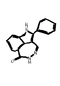 O=C1NN=Cc2c(-c3ccccc3)[nH]c3cccc1c23